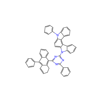 C1=Cc2c(c(-c3nc(-c4ccccc4)nc(-n4c5ccccc5c5c6c7ccccc7n(-c7ccccc7)c6ccc54)n3)c3ccccc3c2-c2ccccc2)CC1